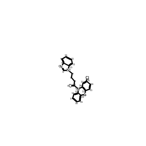 O=C(CCCn1cnc2ccccc21)N1c2ccccc2Sc2ccc(Cl)cc21